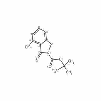 CC(C)(C)OC(=O)N1Cc2cccc(Br)c2C1=O